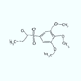 CCC(Cl)S(=O)(=O)c1cc(OC)c(OC)c(OC)c1